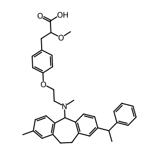 COC(Cc1ccc(OCCN(C)C2c3ccc(C)cc3CCc3cc(C(C)c4ccccc4)ccc32)cc1)C(=O)O